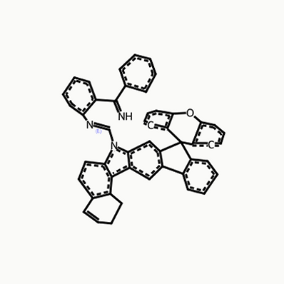 N=C(c1ccccc1)c1ccccc1/N=C/n1c2cc3c(cc2c2c4c(ccc21)C=CCC4)-c1ccccc1C31c2ccccc2Oc2ccccc21